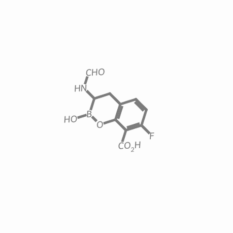 O=CNC1Cc2ccc(F)c(C(=O)O)c2OB1O